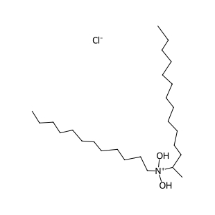 CCCCCCCCCCCCC(C)[N+](O)(O)CCCCCCCCCCCC.[Cl-]